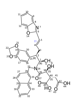 C[C@H]([C@H](C/C=C/c1nc2ccccc2o1)c1ccc2c(c1)OCO2)N(Cc1ccc2ccccc2c1)C(=O)[C@@H](O)[C@H](CC(=O)O)C(=O)O